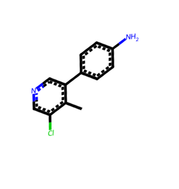 Cc1c(Cl)cncc1-c1ccc(N)cc1